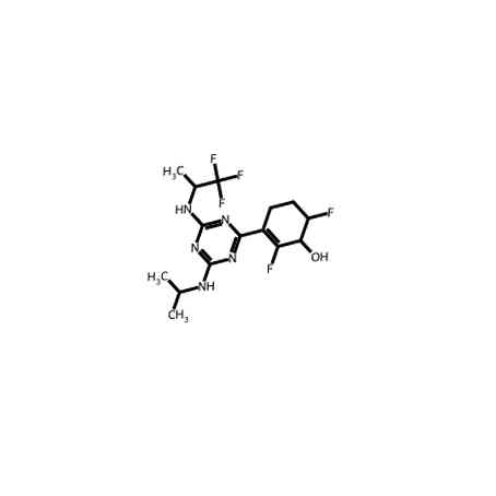 CC(C)Nc1nc(NC(C)C(F)(F)F)nc(C2=C(F)C(O)C(F)CC2)n1